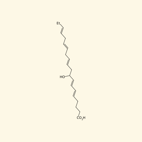 CCC=CCC=CCC=CCC(O)C=CC=CCCCC(=O)O